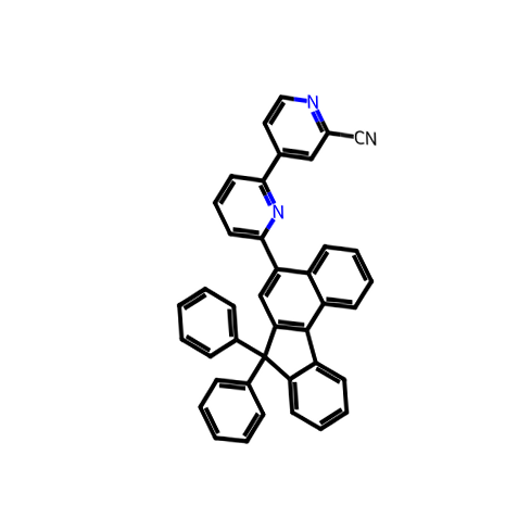 N#Cc1cc(-c2cccc(-c3cc4c(c5ccccc35)-c3ccccc3C4(c3ccccc3)c3ccccc3)n2)ccn1